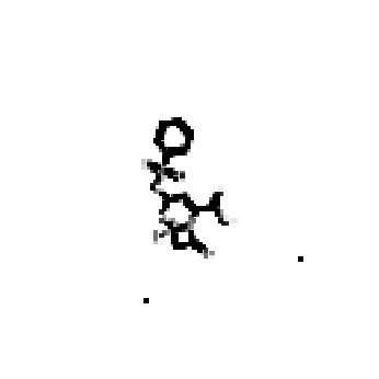 O=C(O)C1=CC(OS(=O)(=O)c2ccccc2)S[C@@H]2CC(=O)N12